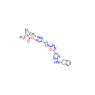 CC(C)(C)C(=O)OCn1cc(C2CN(c3nnc(-c4cnc(NC5Cc6ccccc6C5)nc4)o3)C2)nn1